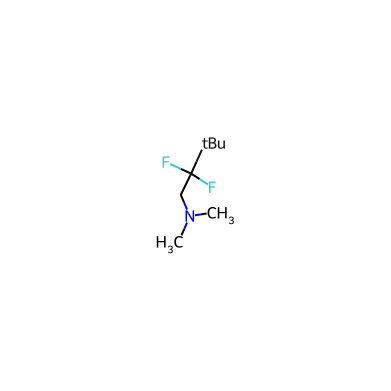 CN(C)CC(F)(F)C(C)(C)C